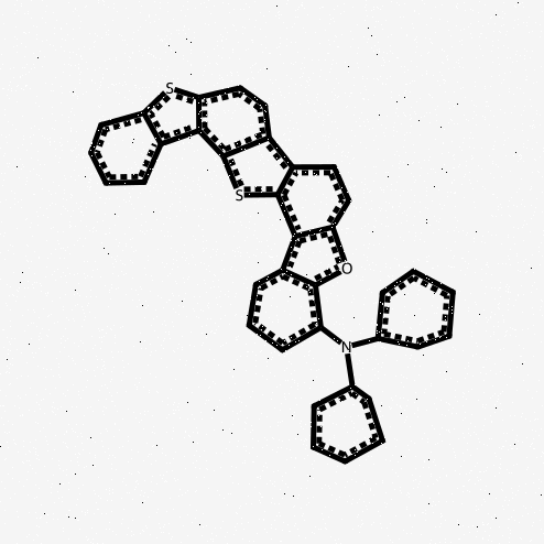 c1ccc(N(c2ccccc2)c2cccc3c2oc2ccc4c5ccc6sc7ccccc7c6c5sc4c23)cc1